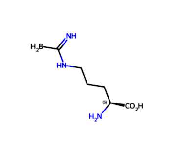 BC(=N)NCCC[C@H](N)C(=O)O